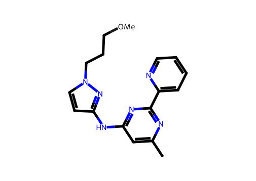 COCCCn1ccc(Nc2cc(C)nc(-c3ccccn3)n2)n1